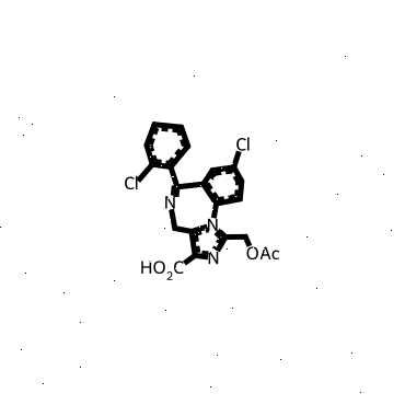 CC(=O)OCc1nc(C(=O)O)c2n1-c1ccc(Cl)cc1C(c1ccccc1Cl)=NC2